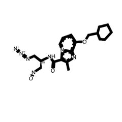 Cc1nc2c(OCC3CCCCC3)cccn2c1C(=O)N[C@@H](CN=O)CN=[N+]=[N-]